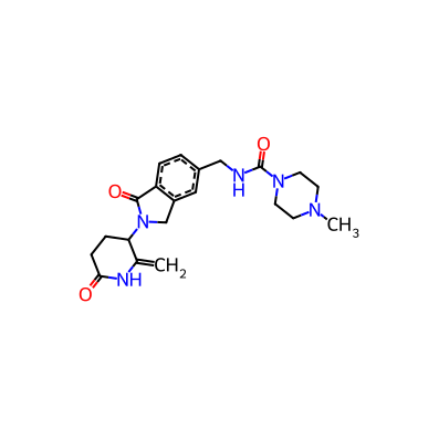 C=C1NC(=O)CCC1N1Cc2cc(CNC(=O)N3CCN(C)CC3)ccc2C1=O